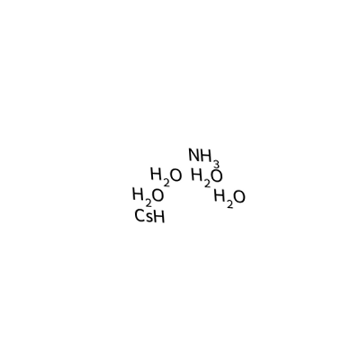 N.O.O.O.O.[CsH]